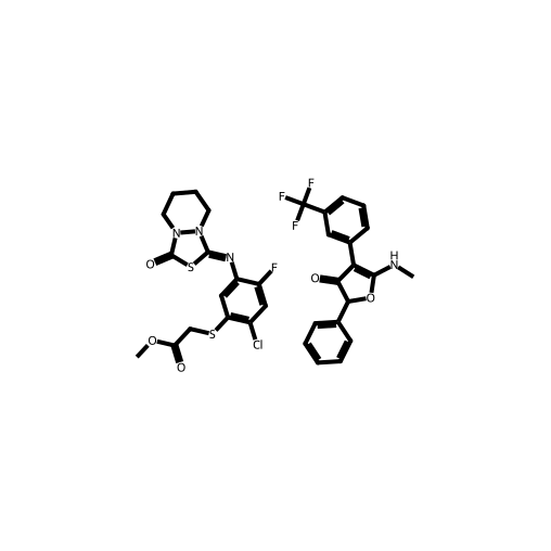 CNC1=C(c2cccc(C(F)(F)F)c2)C(=O)C(c2ccccc2)O1.COC(=O)CSc1cc(/N=c2\sc(=O)n3n2CCCC3)c(F)cc1Cl